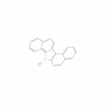 [O-][s+]1c2ccc3ccccc3c2c2ccc3ccccc3c21